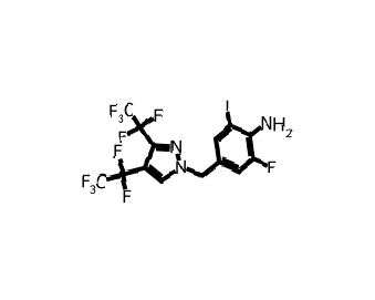 Nc1c(F)cc(Cn2cc(C(F)(F)C(F)(F)F)c(C(F)(F)C(F)(F)F)n2)cc1I